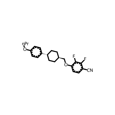 CCCOc1ccc([C@H]2CC[C@H](COc3ccc(C#N)c(F)c3F)CC2)cc1